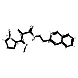 COC(C(C)C(=O)NCCc1cc2ccccc2cn1)C1CCCN1C